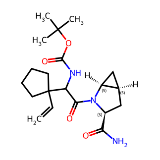 C=CC1(C(NC(=O)OC(C)(C)C)C(=O)N2[C@H](C(N)=O)C[C@@H]3C[C@@H]32)CCCC1